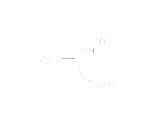 C.O=C(O)CC(O)C(=O)O